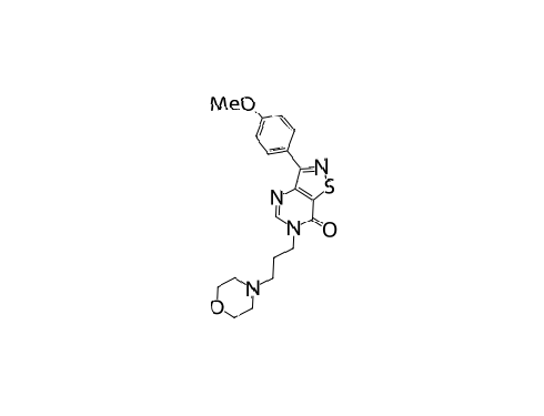 COc1ccc(-c2nsc3c(=O)n(CCCN4CCOCC4)cnc23)cc1